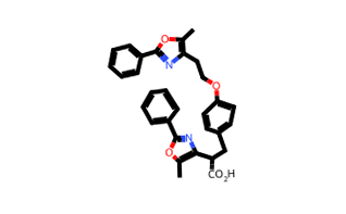 Cc1oc(-c2ccccc2)nc1CCOc1ccc(CC(C(=O)O)c2nc(-c3ccccc3)oc2C)cc1